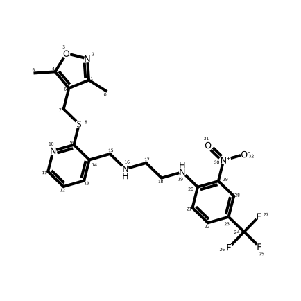 Cc1noc(C)c1CSc1ncccc1CNCCNc1ccc(C(F)(F)F)cc1[N+](=O)[O-]